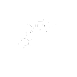 COC[C@@]1(F)CCN(C(=O)OCc2ccccc2)C1